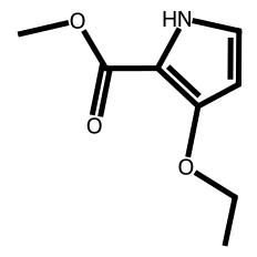 CCOc1cc[nH]c1C(=O)OC